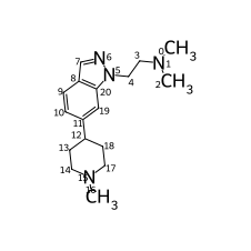 CN(C)CCn1ncc2ccc(C3CCN(C)CC3)cc21